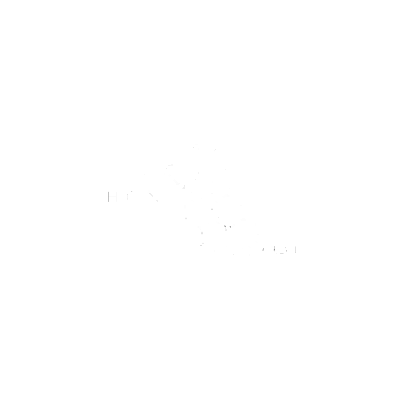 Cc1ccc(C2(c3ccc4ccc5cc(C(C)(C)C)cc6ccc3c4c56)CCCCC2)cc1